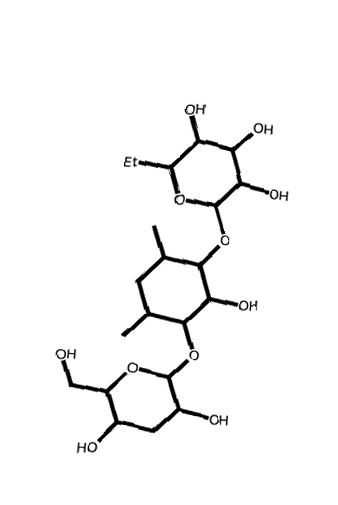 CCC1OC(OC2C(C)CC(C)C(OC3OC(CO)C(O)CC3O)C2O)C(O)C(O)C1O